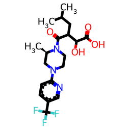 CC(C)CC(C(=O)N1CCN(c2ccc(C(F)(F)F)cn2)C[C@H]1C)C(O)C(=O)O